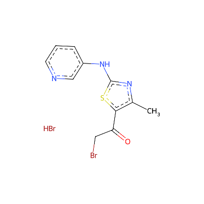 Br.Cc1nc(Nc2cccnc2)sc1C(=O)CBr